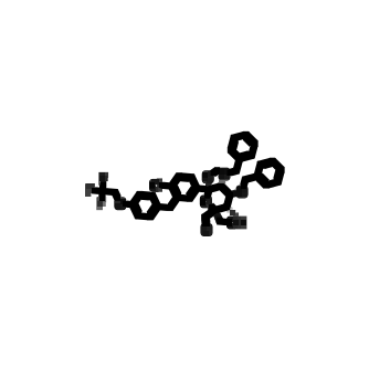 CO[C@@]1(c2ccc(Cl)c(Cc3ccc(OCC(F)(F)F)cc3)c2)O[C@](C=O)(CO)[C@@H](C)[C@H](OCc2ccccc2)[C@H]1OCc1ccccc1